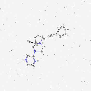 C(#C[C@H]1CC[C@H]2CN(c3cnccn3)CCN21)c1ccccc1